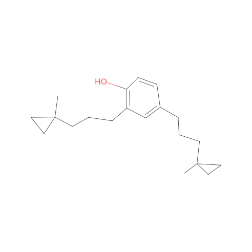 CC1(CCCc2ccc(O)c(CCCC3(C)CC3)c2)CC1